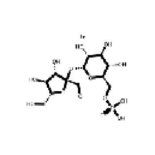 O=P(O)(O)OC[C@H]1O[C@H](O[C@]2(CO)O[C@H](CO)[C@@H](O)[C@@H]2O)[C@H](O)[C@@H](O)[C@@H]1O.[Fe]